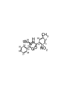 Cc1ccc([N+](=O)[O-])c(C(=O)NN(C(=O)c2ccccc2)C(C)(C)C)c1